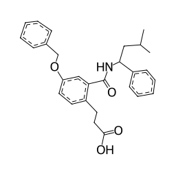 CC(C)CC(NC(=O)c1cc(OCc2ccccc2)ccc1CCC(=O)O)c1ccccc1